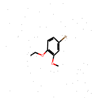 CCOc1ccc(Br)cc1OC